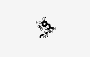 CCc1nnc(NC(=O)C(C#N)=Cc2cc(OC)c(O)c([N+](=O)[O-])c2)s1